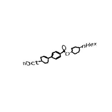 CCCCCCCCC1CC=C(c2ccc(C(=O)O[C@H]3CC[C@H](CCCCCC)CC3)cc2)CC1